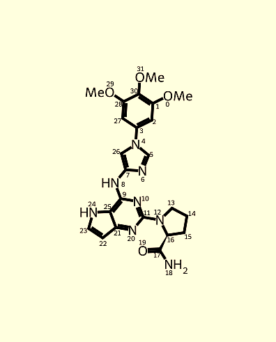 COc1cc(-n2cnc(Nc3nc(N4CCC[C@H]4C(N)=O)nc4cc[nH]c34)c2)cc(OC)c1OC